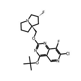 CC(C)(C)Oc1nc(OC[C@@]23CCCN2C[C@H](F)C3)nc2c(F)c(Cl)ncc12